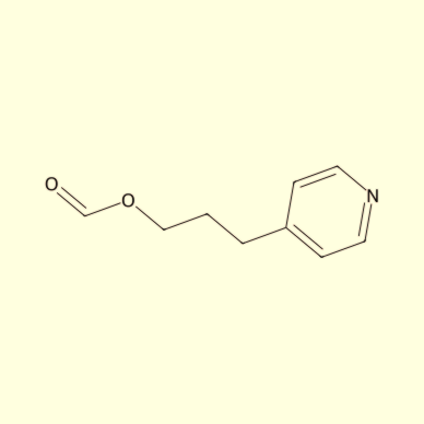 O=COCCCc1ccncc1